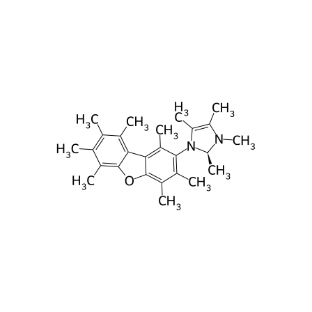 CC1=C(C)N(c2c(C)c(C)c3oc4c(C)c(C)c(C)c(C)c4c3c2C)[C@H](C)N1C